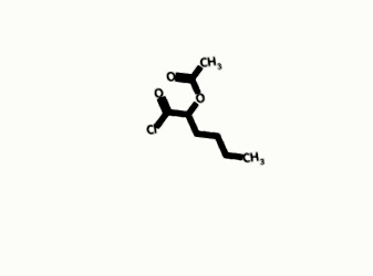 CCCCC(OC(C)=O)C(=O)Cl